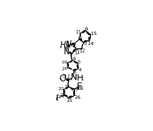 O=C(Nc1ccc(-c2n[nH]c3c2Cc2ccccc2-3)cc1)c1cc(F)ccc1F